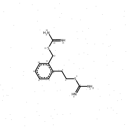 N=C(N)SCCc1ccccc1CSC(=N)N